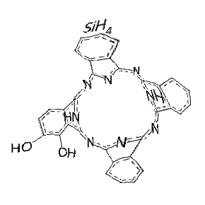 Oc1ccc2c3nc4nc(nc5[nH]c(nc6nc(nc([nH]3)c2c1O)-c1ccccc1-6)c1ccccc51)-c1ccccc1-4.[SiH4]